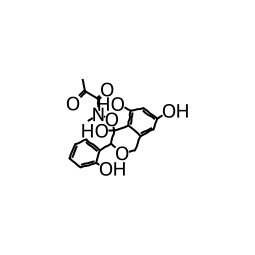 CC(=O)C(=O)N(C)OC1(O)c2c(O)cc(O)cc2COC1c1ccccc1O